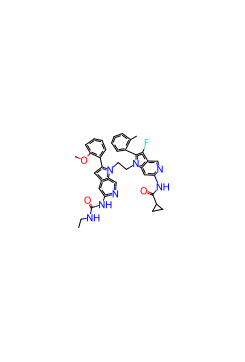 CCNC(=O)Nc1cc2cc(-c3ccccc3OC)n(CCn3c(-c4ccccc4C)c(F)c4cnc(NC(=O)C5CC5)cc43)c2cn1